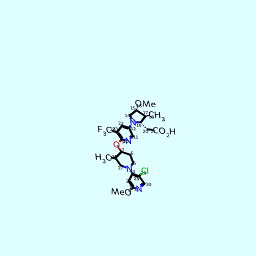 COc1cc(N2CCC(Oc3ncc(N4C[C@H](OC)[C@@H](C)[C@@H]4CC(=O)O)cc3C(F)(F)F)C(C)C2)c(Cl)cn1